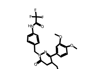 CCC1CC(=O)N(Cc2ccc(NC(=O)C(F)(F)F)cc2)N=C1c1ccc(OC)c(OC)c1